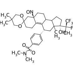 CN(C)S(=O)(=O)c1ccc([C@H]2CC3(C)C(CC[C@@]3(O)[C@@](C)(F)C(F)(F)F)C3CC[C@@]4(N=O)CC5(CCC4=C32)OCC(C)(C)CO5)cc1